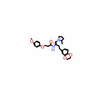 COc1ccc(OCCC(=O)N/C(=C/N2CCCC2C)CCc2ccc3c(c2)OCCO3)cc1